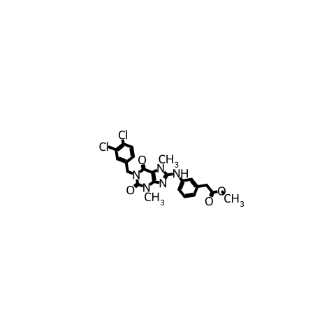 COC(=O)Cc1cccc(Nc2nc3c(c(=O)n(Cc4ccc(Cl)c(Cl)c4)c(=O)n3C)n2C)c1